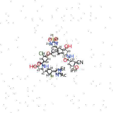 CC(C)Oc1ccc(C(=O)NC(CCO)Cc2ccc(-c3cn(C)c(S(C)(=O)=O)n3)cc2)cc1C#N.CCn1cc(-c2ccc(CC(CCO)NC(=O)c3ccc(OC(C)C(F)(F)F)c(Cl)c3)cc2F)nc1C(C)=O